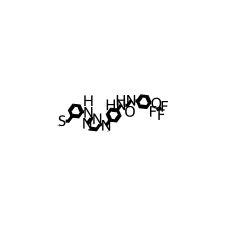 CSCc1cccc(Nc2nccc(N(C)c3ccc(NC(=O)Nc4ccc(OC(F)(F)F)cc4)cc3)n2)c1